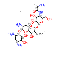 CNC1C(O[C@H]2OC(CO)[C@@H](NC(=O)[C@H](C)N)C(O)C2O)O[C@H]2CC(N)[C@@H](O[C@@H]3C(N)C[C@@H](N)C(O)[C@H]3O)OC2C1O